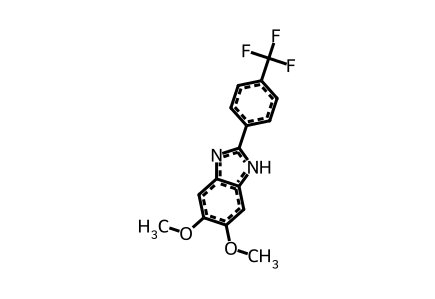 COc1cc2nc(-c3ccc(C(F)(F)F)cc3)[nH]c2cc1OC